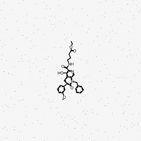 CCOC(=O)CCCNC(=O)c1ncc2c(cc(-c3cccc(OC)c3)c(=O)n2Cc2ccccc2)c1O